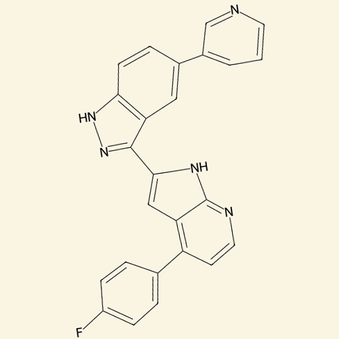 Fc1ccc(-c2ccnc3[nH]c(-c4n[nH]c5ccc(-c6cccnc6)cc45)cc23)cc1